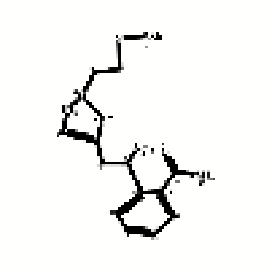 CSSCCN1NC=C(CC(C)c2ccccc2C(N)=O)N1